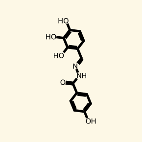 O=C(NN=Cc1ccc(O)c(O)c1O)c1ccc(O)cc1